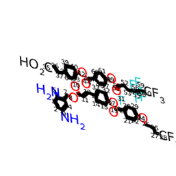 Nc1ccc(N)c(COC(=O)/C=C/c2ccc(OC(=O)c3ccc(OCCCC(F)(F)F)cc3F)cc2)c1.O=C(O)C=Cc1ccc(OC(=O)c2ccc(OC(=O)CCC(F)(F)C(F)(F)C(F)(F)F)cc2)cc1